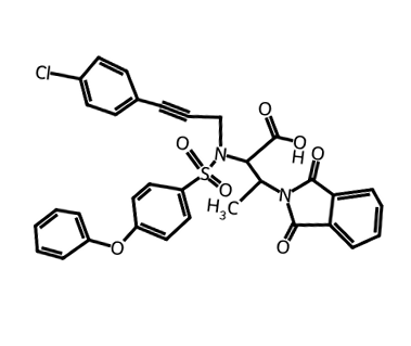 CC(C(C(=O)O)N(CC#Cc1ccc(Cl)cc1)S(=O)(=O)c1ccc(Oc2ccccc2)cc1)N1C(=O)c2ccccc2C1=O